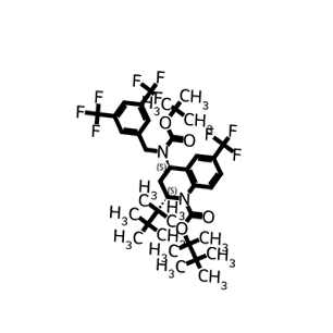 CC(C)(C)OC(=O)N(Cc1cc(C(F)(F)F)cc(C(F)(F)F)c1)[C@H]1C[C@@H](C(C)(C)C(C)(C)C)N(C(=O)OC(C)(C)C(C)(C)C)c2ccc(C(F)(F)F)cc21